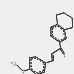 O=C(C=Cc1ccc(OC(F)(F)F)cc1)c1ccc2c(c1)CCCC2